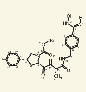 [H]/N=C(\NO)c1ccc(CNC(=O)[C@H](C)NC(=O)[C@H]2C[C@H](c3ccccc3)CN2C(=O)OC(C)(C)C)cc1